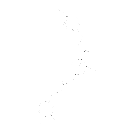 N#Cc1ccc(CNC(=O)C23CCC(NC(=O)COc4ccc(Cl)c(F)c4)(CC2)C[C@@H]3O)nc1